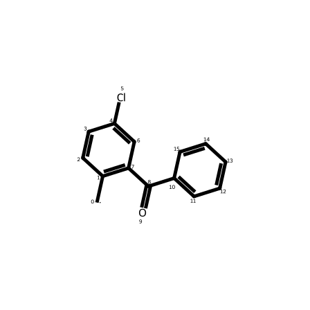 [CH2]c1ccc(Cl)cc1C(=O)c1ccccc1